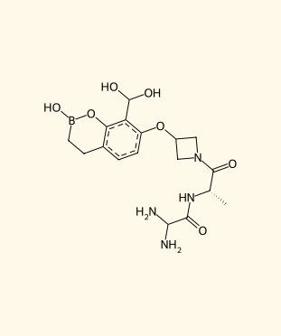 C[C@H](NC(=O)C(N)N)C(=O)N1CC(Oc2ccc3c(c2C(O)O)OB(O)CC3)C1